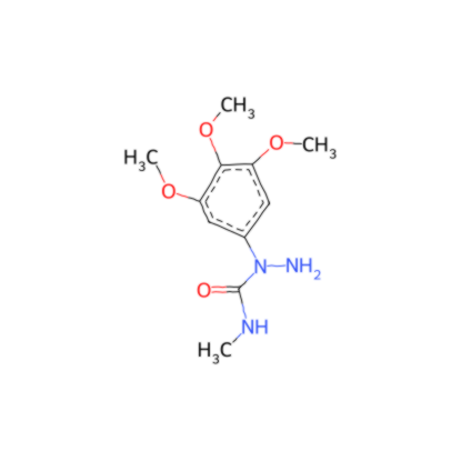 CNC(=O)N(N)c1cc(OC)c(OC)c(OC)c1